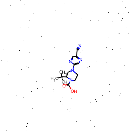 CC(C)(C)C1CN(c2cnc(C#N)cn2)CCN1C(=O)O